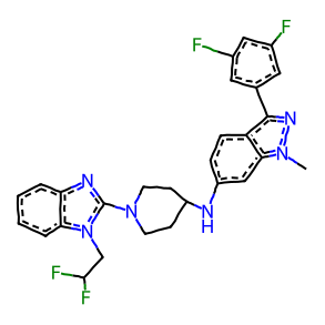 Cn1nc(-c2cc(F)cc(F)c2)c2ccc(NC3CCN(c4nc5ccccc5n4CC(F)F)CC3)cc21